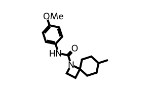 COc1ccc(NC(=O)N2CCC23CCC(C)CC3)cc1